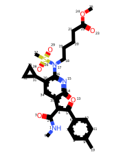 CNC(=O)c1c(-c2ccc(C)cc2)oc2nc(N(CCCCC(=O)OC)S(C)(=O)=O)c(C3CC3)cc12